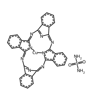 NS(N)(=O)=O.c1ccc2c(c1)C1=NC/2=N\c2c3ccccc3c3[n]2[Cu][n]2/c(c4ccccc4/c2=N/C2=N\C(=N/3)c3ccccc32)=N\1